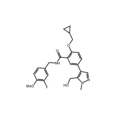 COc1ccc(CNC(=O)c2cc(-c3cnn(C)c3CO)ccc2OCC2CC2)cc1F